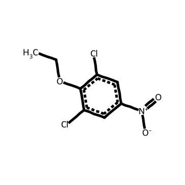 CCOc1c(Cl)cc([N+](=O)[O-])cc1Cl